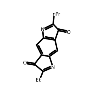 CCCc1nc2cc3c(=O)c(CC)nc3cc2c1=O